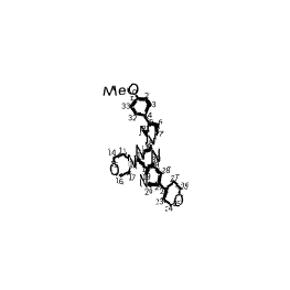 COc1ccc(-c2ccn(-c3nc(N4CCOCC4)c4ncc(C5=CCOCC5)cc4n3)n2)cc1